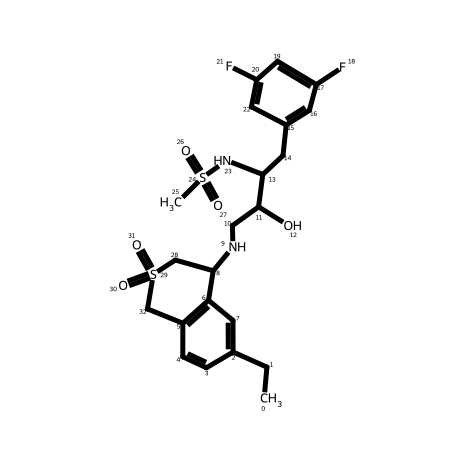 CCc1ccc2c(c1)C(NCC(O)C(Cc1cc(F)cc(F)c1)NS(C)(=O)=O)CS(=O)(=O)C2